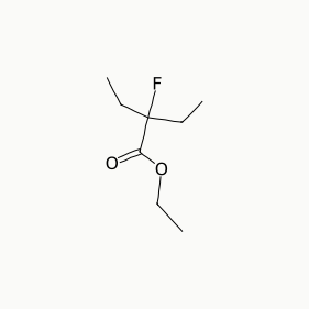 CCOC(=O)C(F)(CC)CC